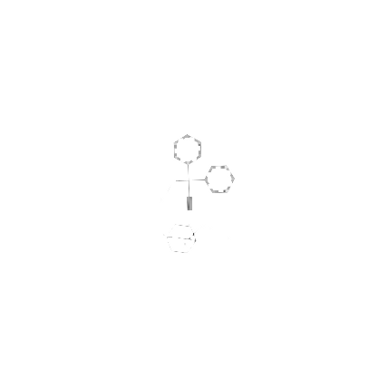 COC(C#C[C@@]1(OC)CN2CCC1CC2)(c1ccccc1)c1ccccc1